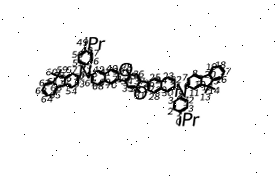 CC(C)c1ccc(N(c2ccc3c(c2)C(C)(C)c2ccccc2-3)c2ccc3cc4c(cc3c2)oc2cc3c(cc24)oc2cc4cc(N(c5ccc(C(C)C)cc5)c5ccc6c(c5)C(C)(C)c5ccccc5-6)ccc4cc23)cc1